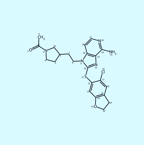 CC(=O)N1CCC(CCn2c(Sc3cc4c(cc3Cl)CCO4)nc3c(N)nccc32)C1